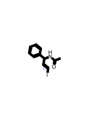 CC(=O)NC(/C=C/I)c1ccccc1